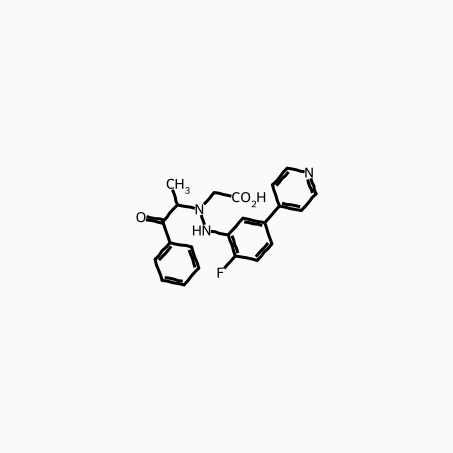 CC(C(=O)c1ccccc1)N(CC(=O)O)Nc1cc(-c2ccncc2)ccc1F